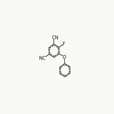 N#Cc1cc(C#N)c(F)c(Oc2ccccc2)c1